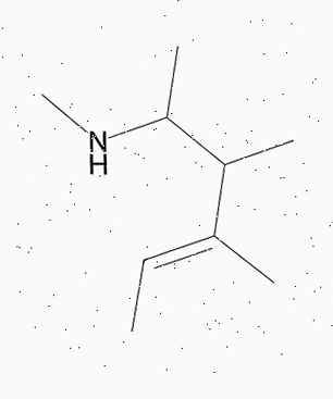 C/C=C(\C)C(C)C(C)NC